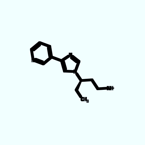 CC[C@H](CC[NH])n1cnc(-c2cccnc2)c1